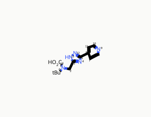 CC(C)(C)N(Cc1nc(-c2ccncc2)n[nH]1)C(=O)O